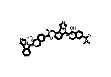 CN(C)C(=O)c1ccc2c(c1)CC[C@H]([C@H]1c3cccc(CN(C)C(=O)c4ccc5c(c4)CC[C@@H]([C@H]4c6ccccc6-c6cncn64)[C@@H]5O)c3-c3cncn31)[C@@H]2O